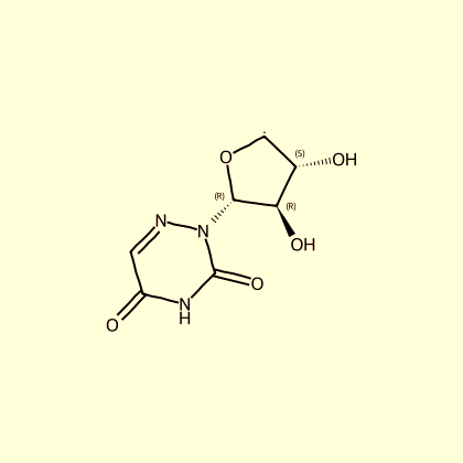 O=c1cnn([C@@H]2O[CH][C@H](O)[C@H]2O)c(=O)[nH]1